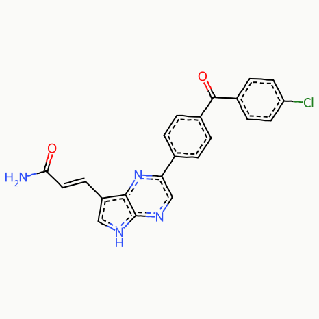 NC(=O)C=Cc1c[nH]c2ncc(-c3ccc(C(=O)c4ccc(Cl)cc4)cc3)nc12